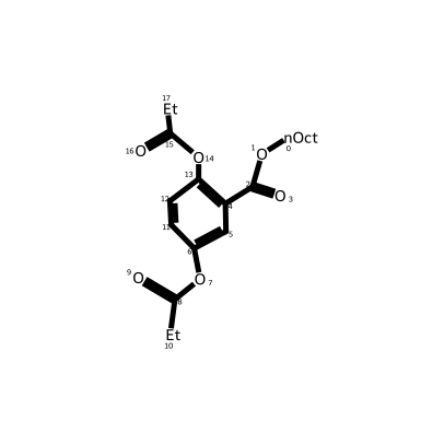 CCCCCCCCOC(=O)c1cc(OC(=O)CC)ccc1OC(=O)CC